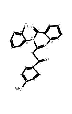 CC(=O)Nc1ccc(C(=O)Cc2nc3ccccc3c(=O)n2-c2ccccc2C)cc1